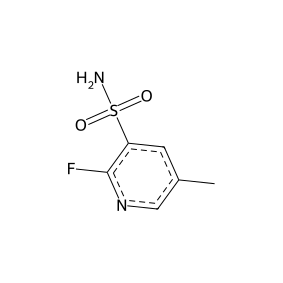 Cc1cnc(F)c(S(N)(=O)=O)c1